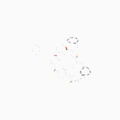 CNC(=O)NC1CCN(C(=O)[C@@H](CCOC[C@@H]2CCCN2)NC(=O)[C@@H](CC(C)C)NC(=O)[C@@H](Cc2ccccc2)NC(=O)[C@H](N)Cc2ccccc2)CC1